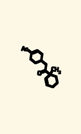 CC(=O)C1=CCC(CC(=O)C2(C)C=CCCC2)CC1